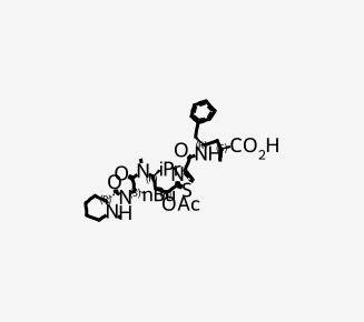 CCCC[C@H](NC(=O)[C@H]1CCCCN1C)C(=O)N(C)[C@H](C[C@@H](OC(C)=O)c1nc(C(=O)N[C@@H](Cc2ccccc2)C[C@H](C)C(=O)O)cs1)C(C)C